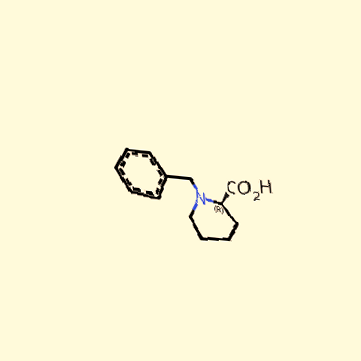 O=C(O)[C@H]1CCCCN1Cc1ccccc1